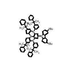 CC(C)(C)c1ccc2c(c1)c1cc(C(C)(C)C)ccc1n2-c1cc2c3c(c1)N(c1cccc(C(C)(C)c4ccccc4)c1)c1cc(C(C)(C)c4ccccc4)ccc1B3c1ccc(C(C)(C)c3ccccc3)cc1N2c1cccc(C(C)(C)c2ccccc2)c1